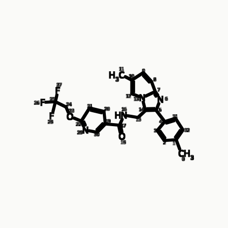 Cc1ccc(-c2nc3ccc(C)cn3c2CNC(=O)c2ccc(OCC(F)(F)F)nc2)cc1